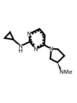 CN[C@@H]1CCN(c2ccnc(NC3CC3)n2)C1